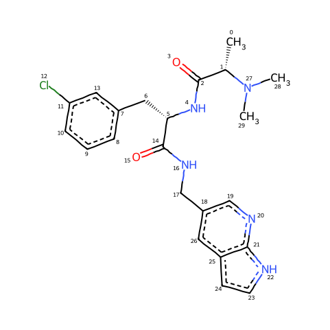 C[C@@H](C(=O)N[C@@H](Cc1cccc(Cl)c1)C(=O)NCc1cnc2[nH]ccc2c1)N(C)C